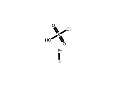 O=S(=O)(O)O.[Ir][Pt]